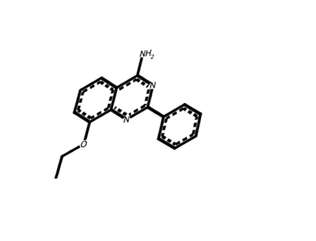 CCOc1cccc2c(N)nc(-c3ccccc3)nc12